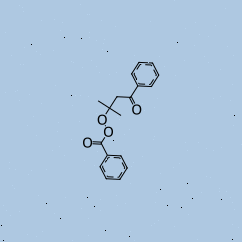 CC(C)(CC(=O)c1ccccc1)OOC(=O)c1ccccc1